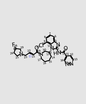 O=C(Nc1nc2cccc(Cl)c2n1[C@@H]1CCCCN(C(=O)/C=C/CN2CC[C@@H](F)C2)C1)c1ccnnc1